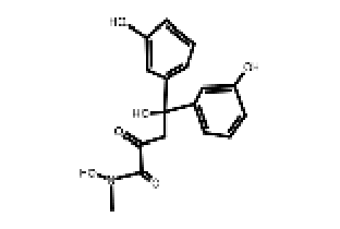 CN(O)C(=O)C(=O)CC(O)(c1cccc(O)c1)c1cccc(O)c1